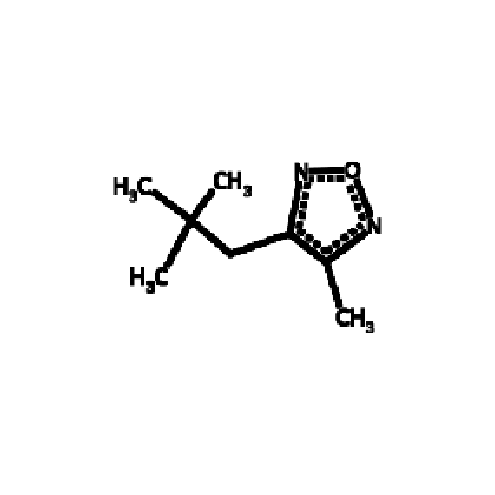 Cc1nonc1CC(C)(C)C